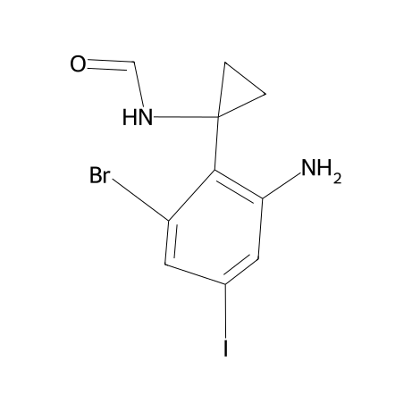 Nc1cc(I)cc(Br)c1C1(NC=O)CC1